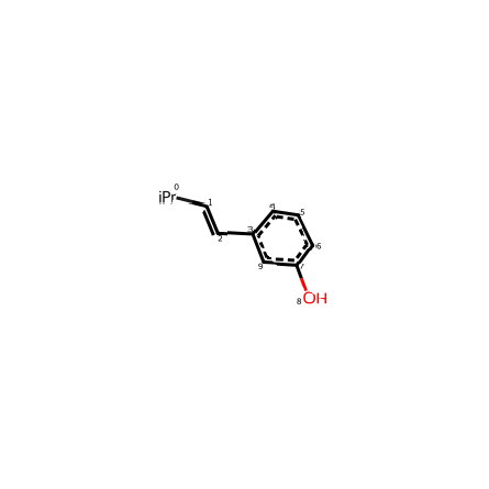 CC(C)/C=C/c1cccc(O)c1